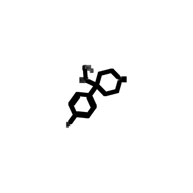 CNC1(c2ccc(F)cc2)CCNCC1